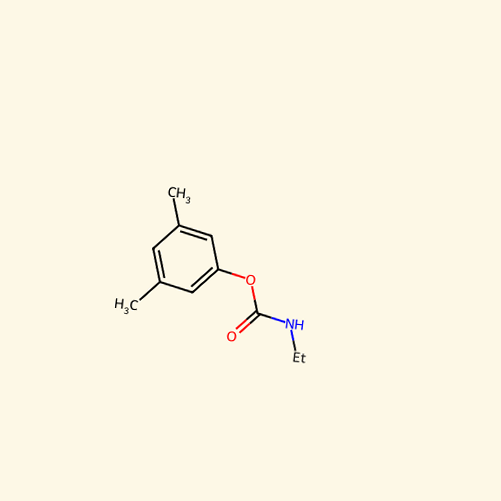 CCNC(=O)Oc1cc(C)cc(C)c1